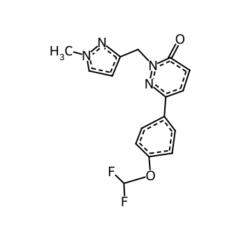 Cn1ccc(Cn2nc(-c3ccc(OC(F)F)cc3)ccc2=O)n1